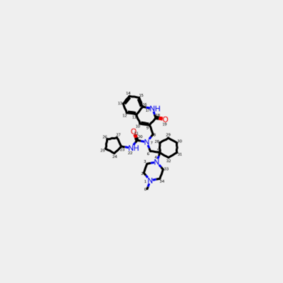 CN1CCN(C2(CN(Cc3cc4ccccc4[nH]c3=O)C(=O)NC3CCCC3)CCCCC2)CC1